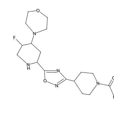 CCC(=O)N1CCC(c2noc(C3CC(N4CCOCC4)C(F)CN3)n2)CC1